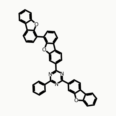 c1ccc(-c2nc(-c3ccc4c(c3)oc3ccccc34)nc(-c3ccc4c(c3)oc3c(-c5cccc6c5oc5ccccc56)cccc34)n2)cc1